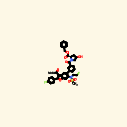 CNC(=O)c1c(-c2ccc(F)cc2)oc2cc(N(CCF)S(C)(=O)=O)c(-c3cccc(C(=O)N4CC(O)C[C@H]4C(=O)OCc4ccccc4)c3)cc12